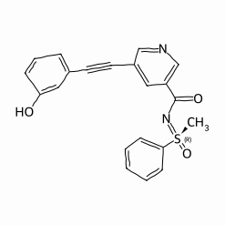 C[S@](=O)(=NC(=O)c1cncc(C#Cc2cccc(O)c2)c1)c1ccccc1